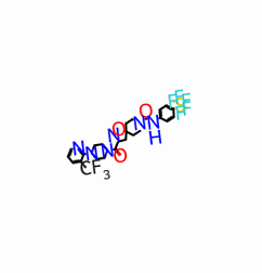 O=C(Nc1ccc(S(F)(F)(F)(F)F)cc1)N1CCC2(CC1)CC(C(=O)N1CCN(c3ncccc3C(F)(F)F)CC1)=NO2